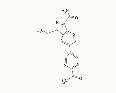 NC(=O)c1ncc(-c2ccc3c(C(N)=O)nn(CC(=O)O)c3c2)cn1